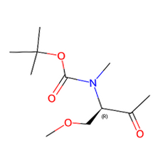 COC[C@H](C(C)=O)N(C)C(=O)OC(C)(C)C